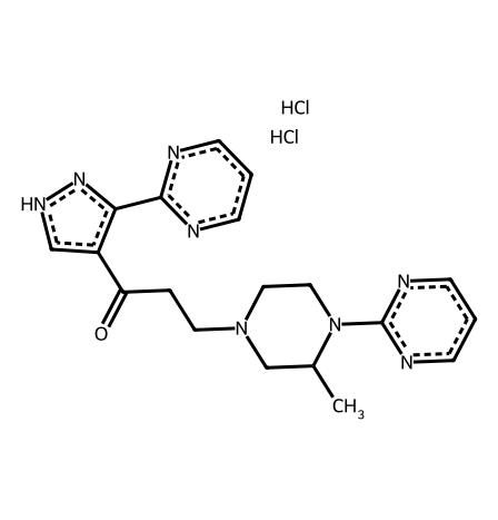 CC1CN(CCC(=O)c2c[nH]nc2-c2ncccn2)CCN1c1ncccn1.Cl.Cl